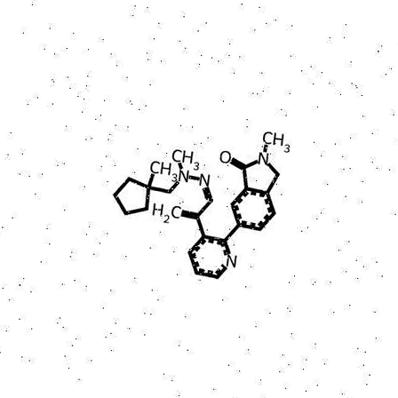 C=C(/C=N\N(C)CC1(C)CCCC1)c1cccnc1-c1ccc2c(c1)C(=O)N(C)C2